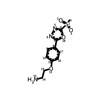 CS(=O)(=O)c1nnc(-c2ccc(OCCN)cc2)o1